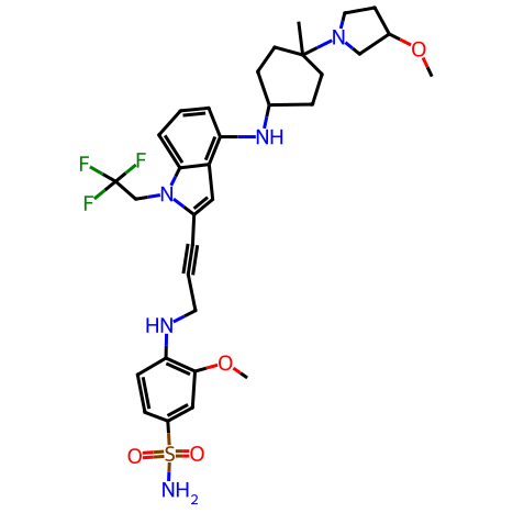 COc1cc(S(N)(=O)=O)ccc1NCC#Cc1cc2c(NC3CCC(C)(N4CCC(OC)C4)CC3)cccc2n1CC(F)(F)F